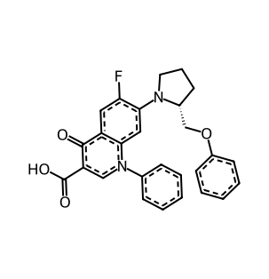 O=C(O)c1cn(-c2ccccc2)c2cc(N3CCC[C@@H]3COc3ccccc3)c(F)cc2c1=O